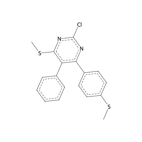 CSc1ccc(-c2nc(Cl)nc(SC)c2-c2ccccc2)cc1